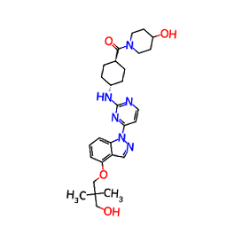 CC(C)(CO)COc1cccc2c1cnn2-c1ccnc(N[C@H]2CC[C@H](C(=O)N3CCC(O)CC3)CC2)n1